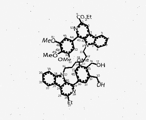 CCOC(=O)c1cc2c3ccccc3n(CCCCCCn3c4ccccc4c4cc(CC)nc(-c5cc(CO)c(CO)c(OC)c5)c43)c2c(-c2cc(OC)c(OC)c(OC)c2)n1